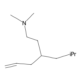 C=CCC(CCN(C)C)CC(C)C